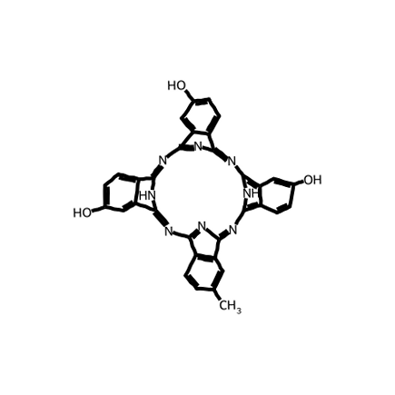 Cc1ccc2c(c1)-c1nc-2nc2[nH]c(nc3nc(nc4[nH]c(n1)c1ccc(O)cc41)-c1ccc(O)cc1-3)c1ccc(O)cc21